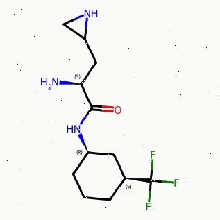 N[C@@H](CC1CN1)C(=O)N[C@@H]1CCC[C@H](C(F)(F)F)C1